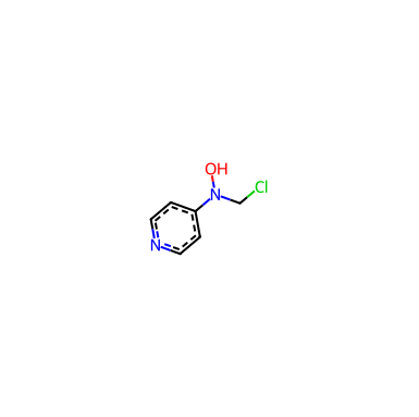 ON(CCl)c1ccncc1